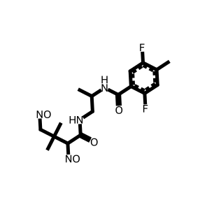 Cc1cc(F)c(C(=O)NC(C)CNC(=O)C(N=O)C(C)(C)CN=O)cc1F